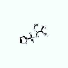 O=S(=O)(N[C@H](CO)C(C(F)(F)F)C(F)(F)F)c1cccs1